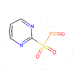 O=PS(=O)(=O)c1ncccn1